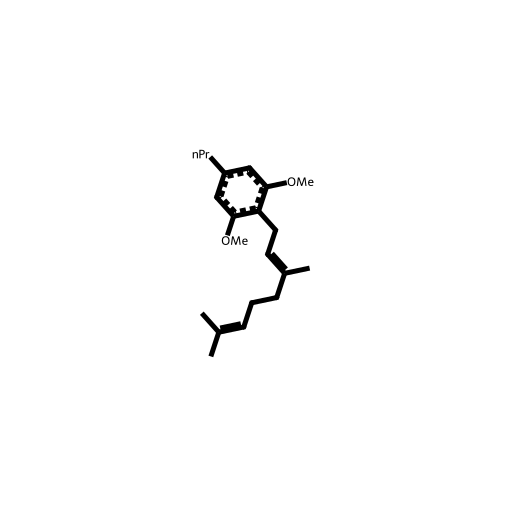 CCCc1cc(OC)c(C/C=C(\C)CCC=C(C)C)c(OC)c1